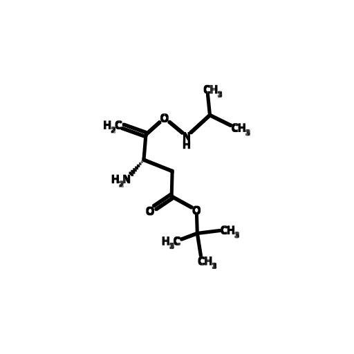 C=C(ONC(C)C)[C@@H](N)CC(=O)OC(C)(C)C